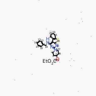 CCOC(=O)OC1CCN(c2nc(NCc3ccccc3)c3c4c(sc3n2)CCCC4)CC1